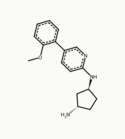 COc1ccccc1-c1ccc(N[C@H]2CC[C@H](N)C2)nc1